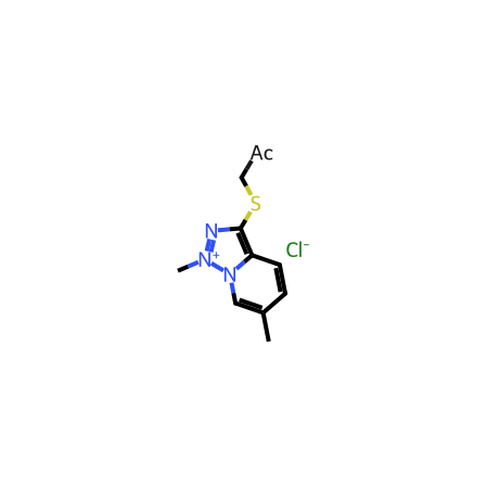 CC(=O)CSc1n[n+](C)n2cc(C)ccc12.[Cl-]